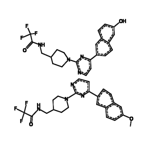 COc1ccc2cc(-c3ccnc(N4CCC(CNC(=O)C(F)(F)F)CC4)n3)ccc2c1.O=C(NCC1CCN(c2nccc(-c3ccc4cc(O)ccc4c3)n2)CC1)C(F)(F)F